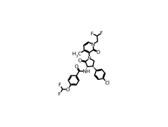 Cc1ccn(CC(F)F)c(=O)c1N1C[C@@H](c2ccc(Cl)cc2)[C@H](NC(=O)c2ccc(OC(F)F)cc2)C1=O